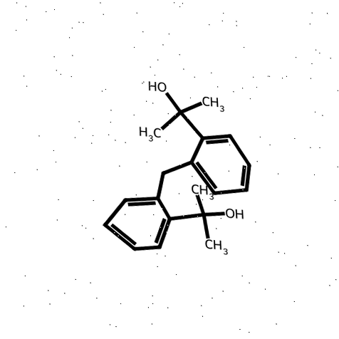 CC(C)(O)c1ccccc1Cc1ccccc1C(C)(C)O